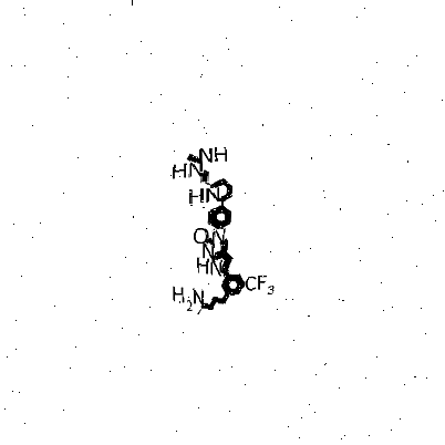 CC(=N)NCC[C@@H]1CCC[C@@H](c2ccc(-n3cc4cc(-c5cc(CCC[C@H](C)N)cc(C(F)(F)F)c5)[nH]c4nc3=O)cc2)N1